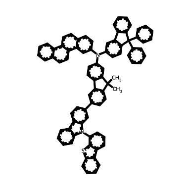 CC1(C)c2ccc(-c3ccc4c5ccccc5n(-c5cccc6c5sc5ccccc56)c4c3)cc2-c2ccc(N(c3ccc4c(c3)-c3ccccc3C4(c3ccccc3)c3ccccc3)c3ccc4ccc5c6ccccc6ccc5c4c3)cc21